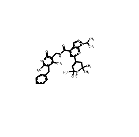 Cc1[nH]c(=O)c(CNC(=O)c2cc(C3=CC(C)(C)NC(C)(C)C3)nc3c2cnn3C(C)C)c(C)c1Cc1ccccc1